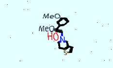 COc1cccc(C(O)(CN2CCc3sccc3C2)OC)c1